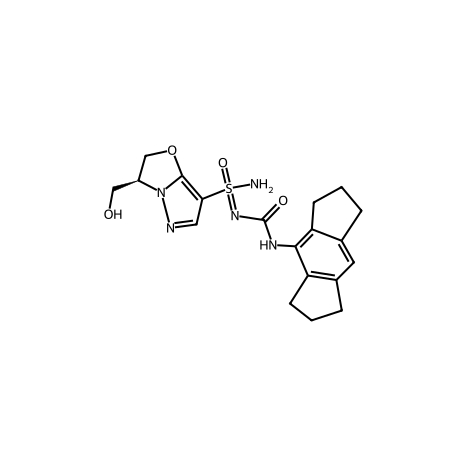 NS(=O)(=NC(=O)Nc1c2c(cc3c1CCC3)CCC2)c1cnn2c1OC[C@@H]2CO